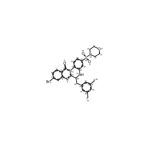 O=c1c2ccc(Br)cc2nc2n1-c1ccc(S(=O)(=O)N3CCOCC3)cc1NC2Cc1cc(F)cc(F)c1